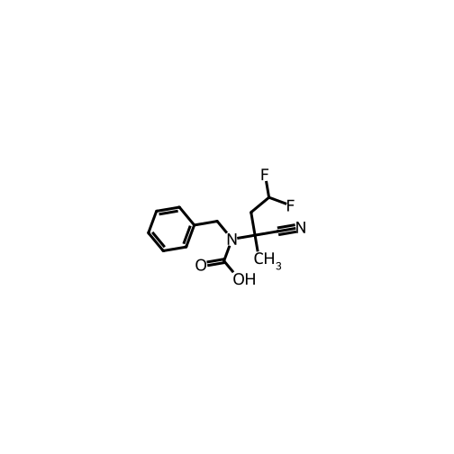 CC(C#N)(CC(F)F)N(Cc1ccccc1)C(=O)O